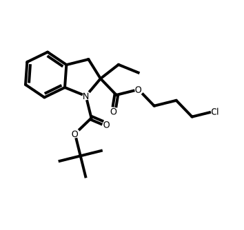 CCC1(C(=O)OCCCCl)Cc2ccccc2N1C(=O)OC(C)(C)C